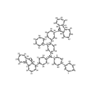 c1ccc(-c2ccc(N(c3ccc(-c4cccc5c4oc4ccccc45)cc3)c3ccc(-c4cccc(-n5c6ccccc6c6ccccc65)c4)c(-c4ccccc4)c3)cc2)cc1